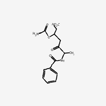 CC(NC(=O)c1ccccc1)C(=O)CC(CC(=O)O)OC(N)=O